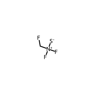 FC[N+](F)(F)[S-]